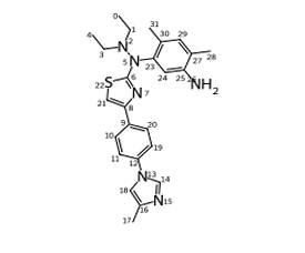 CCN(CC)N(c1nc(-c2ccc(-n3cnc(C)c3)cc2)cs1)c1cc(N)c(C)cc1C